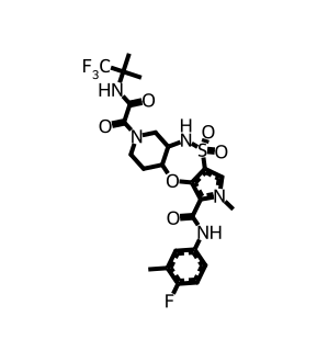 Cc1cc(NC(=O)c2c3c(cn2C)S(=O)(=O)NC2CN(C(=O)C(=O)NC(C)(C)C(F)(F)F)CCC2O3)ccc1F